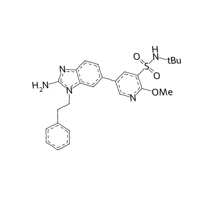 COc1ncc(-c2ccc3nc(N)n(CCc4ccccc4)c3c2)cc1S(=O)(=O)NC(C)(C)C